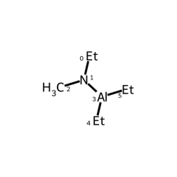 CC[N](C)[Al]([CH2]C)[CH2]C